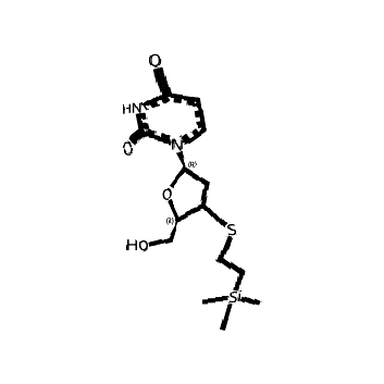 C[Si](C)(C)CCSC1C[C@H](n2ccc(=O)[nH]c2=O)O[C@@H]1CO